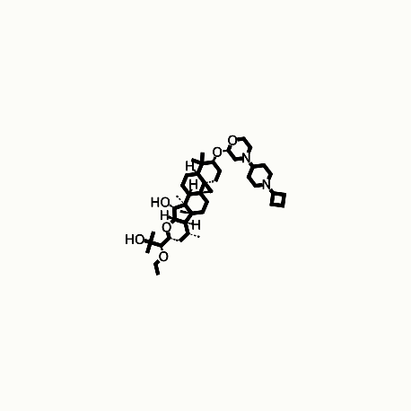 CCO[C@@H]([C@H]1C[C@@H](C)[C@H]2[C@H](O1)[C@H](O)[C@@]1(C)[C@@H]3CC[C@H]4C(C)(C)[C@@H](O[C@H]5CN(C6CCN(C7CCC7)CC6)CCO5)CC[C@@]45C[C@@]35CC[C@]21C)C(C)(C)O